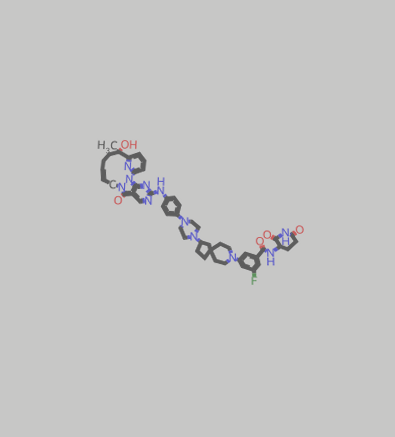 C[C@@]1(O)CC/C=C\Cn2c(=O)c3cnc(Nc4ccc(N5CCN(C6CCC7(CCN(c8cc(F)cc(C(=O)NC9CCC(=O)NC9=O)c8)CC7)C6)CC5)cc4)nc3n2-c2cccc1n2